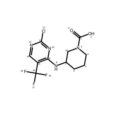 O=C(O)N1CCCC(Nc2nc(Cl)ncc2C(F)(F)F)C1